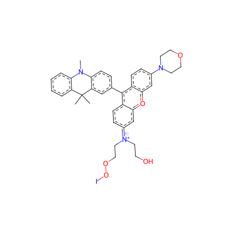 CN1c2ccccc2C(C)(C)c2cc(-c3c4cc/c(=[N+](/CCO)CCOOI)cc-4oc4cc(N5CCOCC5)ccc34)ccc21